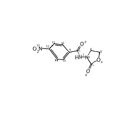 O=C(NN1CCOC1=O)c1ccc([N+](=O)[O-])cc1